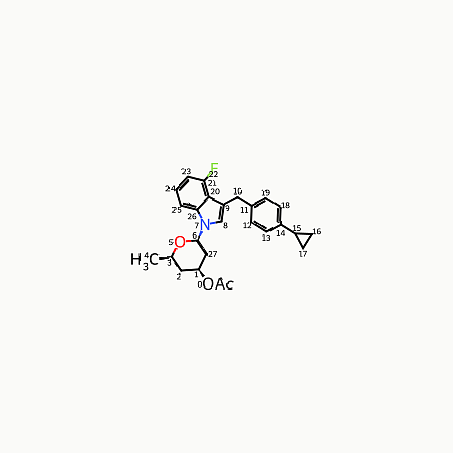 CC(=O)O[C@H]1C[C@@H](C)O[C@@H](n2cc(Cc3ccc(C4CC4)cc3)c3c(F)cccc32)C1